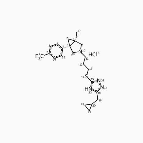 Cl.FC(F)(F)c1ccc([C@]23C[C@H]2CN(CCCSc2nnc(CC4CC4)[nH]2)C3)cc1